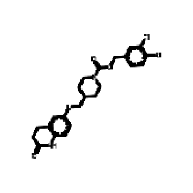 O=C1CCc2cc(OCC3CCN(C(=O)OCc4ccc(Cl)c(Cl)c4)CC3)ccc2N1